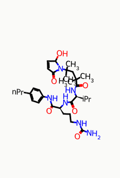 CCCc1ccc(NC(=O)[C@H](CCCNC(N)=O)NC(=O)[C@@H](NC(=O)C(C)(C)CC(C)(C)N2C(=O)C=CC2O)C(C)C)cc1